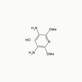 COc1nc(OC)c(N)cc1N.Cl